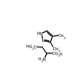 Cc1c[nH]nc1C.NC(CC(=O)O)C(=O)O